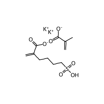 C=C(C)C(=O)[O-].C=C(CCCCS(=O)(=O)O)C(=O)[O-].[K+].[K+]